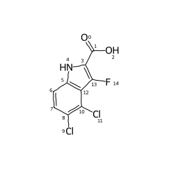 O=C(O)c1[nH]c2ccc(Cl)c(Cl)c2c1F